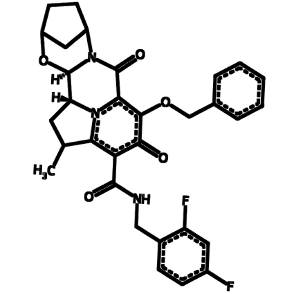 CC1C[C@@H]2[C@H]3OC4CCC(C4)N3C(=O)c3c(OCc4ccccc4)c(=O)c(C(=O)NCc4ccc(F)cc4F)c1n32